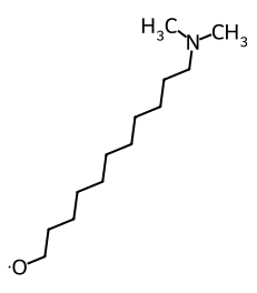 CN(C)CCCCCCCCCCC[O]